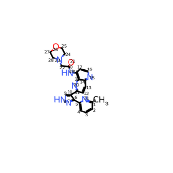 Cc1cccc(-c2n[nH]cc2-c2ccc3nccc(NC(=O)CN4CCOCC4)c3n2)n1